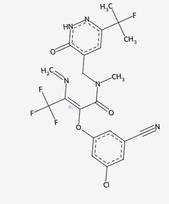 C=N/C(=C(/Oc1cc(Cl)cc(C#N)c1)C(=O)N(C)Cc1cc(C(C)(C)F)n[nH]c1=O)C(F)(F)F